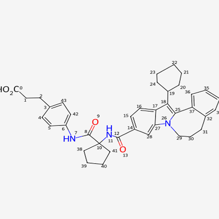 O=C(O)CCc1ccc(NC(=O)C2(NC(=O)c3ccc4c(C5CCCCC5)c5n(c4c3)CCCc3ccccc3-5)CCCC2)cc1